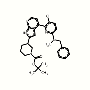 CN(Cc1ccccc1)c1ccc(Cl)c(-c2ccnc3[nH]c(C4CCCN(C(=O)OC(C)(C)C)C4)cc23)n1